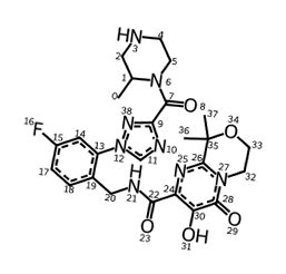 CC1CNCCN1C(=O)c1ncn(-c2cc(F)ccc2CNC(=O)c2nc3n(c(=O)c2O)CCOC3(C)C)n1